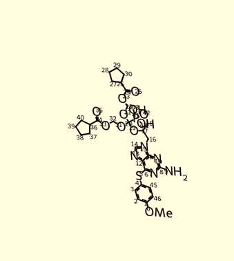 COc1ccc(Sc2nc(N)nc3c2ncn3CC(C)OC(OCOC(=O)C2CCCC2)(OCOC(=O)C2CCCC2)P(=O)(O)O)cc1